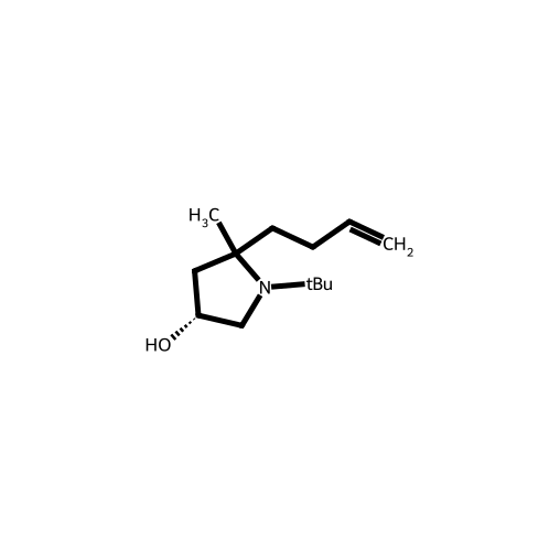 C=CCCC1(C)C[C@@H](O)CN1C(C)(C)C